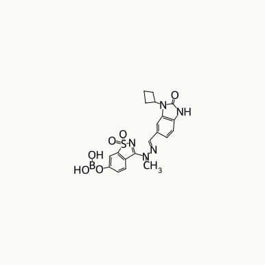 CN(/N=C/c1ccc2[nH]c(=O)n(C3CCC3)c2c1)C1=NS(=O)(=O)c2cc(OB(O)O)ccc21